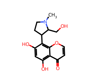 CN1CCC(c2c(O)cc(O)c3c(=O)ccoc23)C1CO